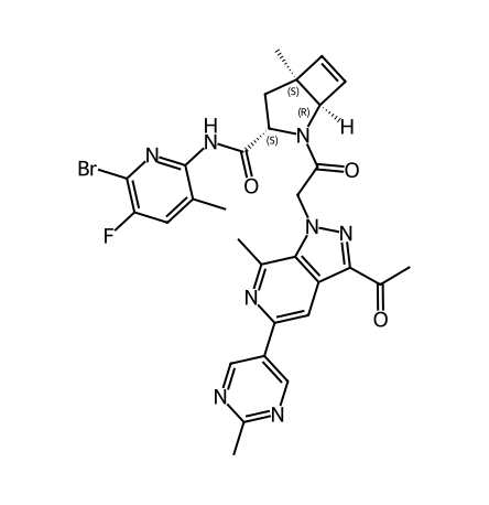 CC(=O)c1nn(CC(=O)N2[C@H](C(=O)Nc3nc(Br)c(F)cc3C)C[C@@]3(C)C=C[C@@H]23)c2c(C)nc(-c3cnc(C)nc3)cc12